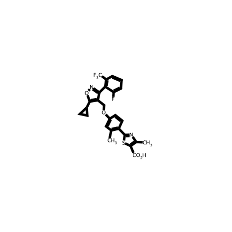 Cc1cc(OCc2c(-c3c(F)cccc3C(F)(F)F)noc2C2CC2)ccc1-c1nc(C)c(C(=O)O)s1